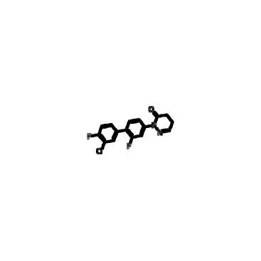 O=C1CCC=NN1c1ccc(-c2ccc(F)c(Cl)c2)c(F)c1